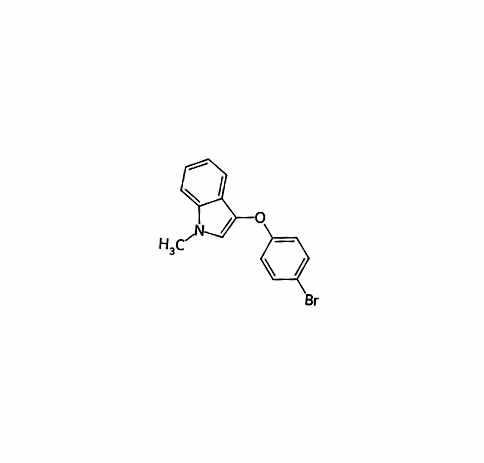 Cn1cc(Oc2ccc(Br)cc2)c2ccccc21